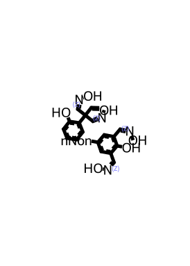 C=CC(/C=N\O)(/C=N\O)c1ccccc1O.CCCCCCCCCc1cc(/C=N\O)c(O)c(/C=N\O)c1